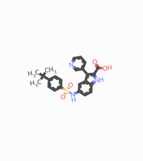 CC(C)(C)c1ccc(S(=O)(=O)Nc2ccc3[nH]c(C(=O)O)c(-c4cccnc4)c3c2)cc1